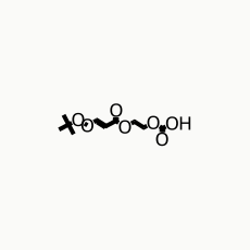 CC(C)(C)OOC=CC(=O)OCCOC(=O)O